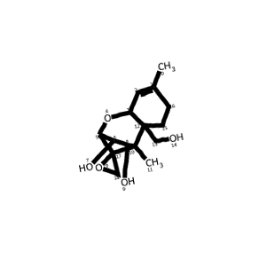 CC1=CC2OC3C(O)C(O)C(C)(C2(CO)CC1)C31CO1